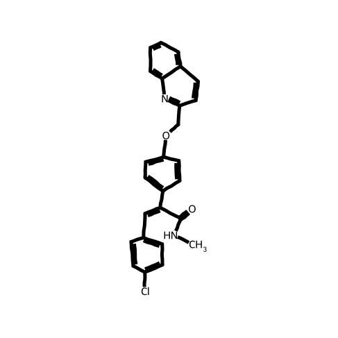 CNC(=O)C(=Cc1ccc(Cl)cc1)c1ccc(OCc2ccc3ccccc3n2)cc1